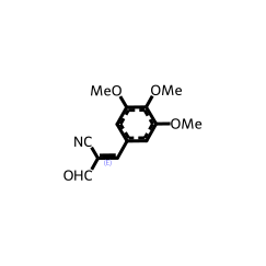 COc1cc(/C=C(\C#N)C=O)cc(OC)c1OC